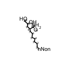 CCCCCCCCCCCCCCCCC(CC(O)CO)C(N)=O